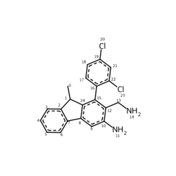 CC1c2ccccc2-c2cc(N)c(CN)c(-c3ccc(Cl)cc3Cl)c21